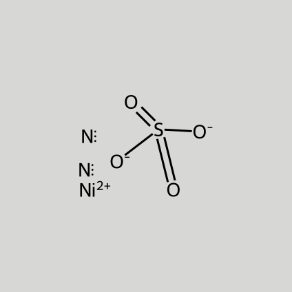 O=S(=O)([O-])[O-].[N].[N].[Ni+2]